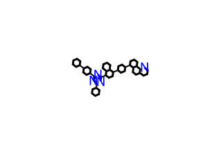 c1ccc(-c2ccc(-c3nc(-c4ccccc4)nc(-c4ccc(-c5ccc(-c6cccc7c6ccc6cccnc67)cc5)c5ccccc45)n3)cc2)cc1